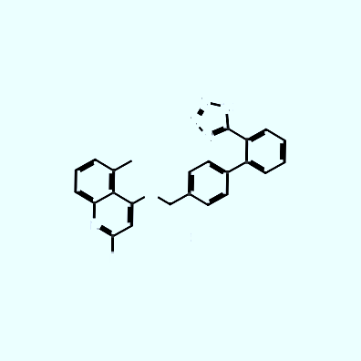 CCc1cc(OCc2ccc(-c3ccccc3-c3nnn[nH]3)cc2)c2c(C)cccc2n1.Cl